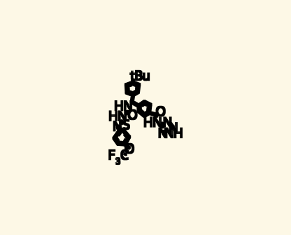 CC(C)(C)c1ccc(C(NC(=O)Nc2nc3ccc(OC(F)(F)F)cc3s2)c2ccc(C(=O)Nc3nn[nH]n3)cc2)cc1